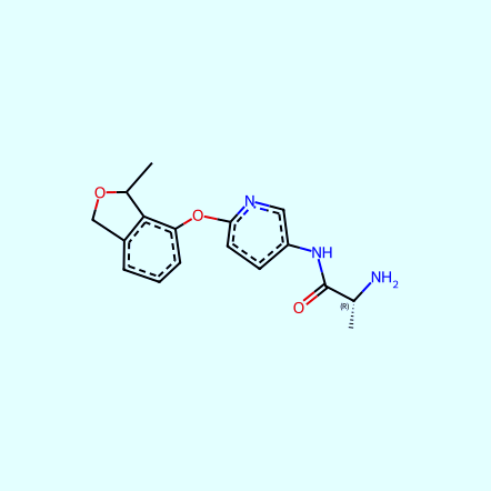 CC1OCc2cccc(Oc3ccc(NC(=O)[C@@H](C)N)cn3)c21